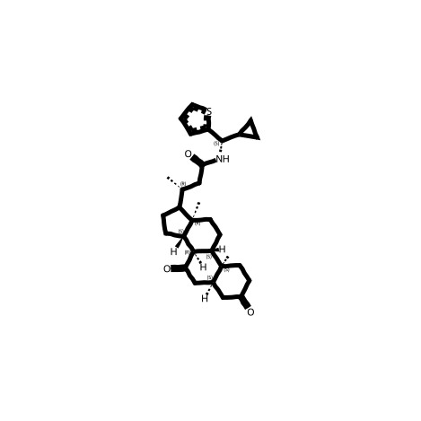 C[C@H](CC(=O)N[C@H](c1cccs1)C1CC1)C1CC[C@H]2[C@@H]3C(=O)C[C@@H]4CC(=O)CC[C@]4(C)[C@H]3CC[C@]12C